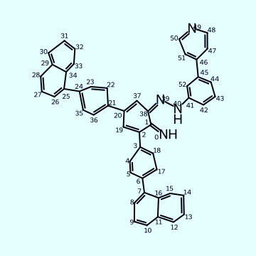 N=C1C(c2ccc(-c3cccc4ccccc34)cc2)=CC(c2ccc(-c3cccc4ccccc34)cc2)=C/C1=N/Nc1cccc(-c2ccncc2)c1